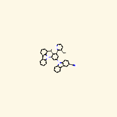 CCc1cccnc1-c1cc(-n2c3ccccc3c3cc(C#N)ccc32)cc2c1C(C)c1cccc3c4ccccc4n-2c13